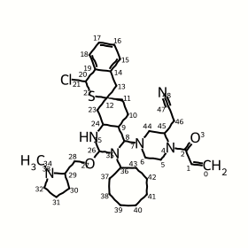 C=CC(=O)N1CCN(C2C3CC[C@@]4(Cc5ccccc5C(Cl)S4)CC3NC(OCC3CCCN3C)N2C2CCCCCCC2)CC1CC#N